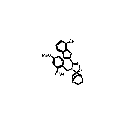 COc1ccc(CN2C(c3cc4cccc(C#N)c4s3)=NOC23CN2CCC3CC2)c(OC)c1